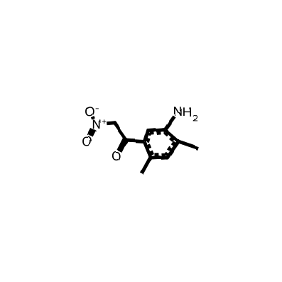 Cc1cc(C)c(C(=O)C[N+](=O)[O-])cc1N